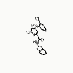 O=C(NC1Cc2ccccc2C1)c1cc(Nc2ccccc2Cl)cc(Cl)n1